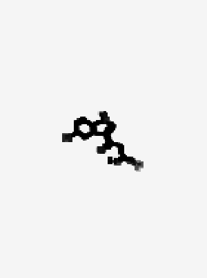 O=C(O)/C(O)=C/C(=O)c1c[nH]c2ccc(O)cc12